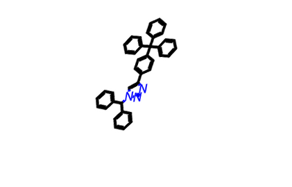 c1ccc(C(c2ccccc2)n2cc(-c3ccc(C(c4ccccc4)(c4ccccc4)c4ccccc4)cc3)nn2)cc1